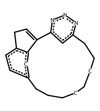 C1=C2c3cc(nnn3)CCCCCCCCc3ccc(c2c3)C1